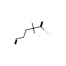 CC(C)(CCC=O)C(N)=O